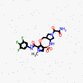 Cn1cc2c(c1C(=O)Nc1cc(F)c(F)c(F)c1)OCC1CN(C(=O)C(N)=O)CC1NS2(=O)=O